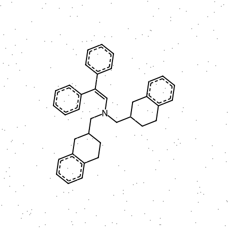 C(=C(c1ccccc1)c1ccccc1)N(CC1CCc2ccccc2C1)CC1CCc2ccccc2C1